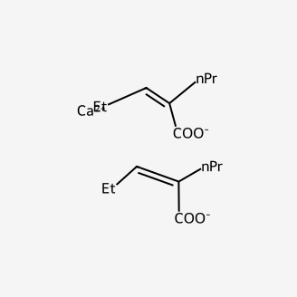 CCC=C(CCC)C(=O)[O-].CCC=C(CCC)C(=O)[O-].[Ca+2]